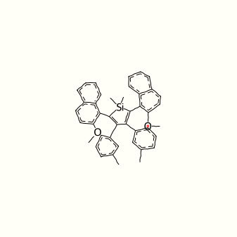 COc1ccc2ccccc2c1C1=C(c2cccc(C)c2)C(c2cccc(C)c2)=C(c2c(OC)ccc3ccccc23)[Si]1(C)C